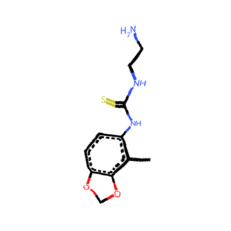 Cc1c(NC(=S)NCCN)ccc2c1OCO2